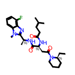 CC[C@H]1CCCCN1C(=O)C[C@H](NC(=O)CCC(C)C)C(=O)N[C@@H](C)c1nc2c(F)cccc2n1C